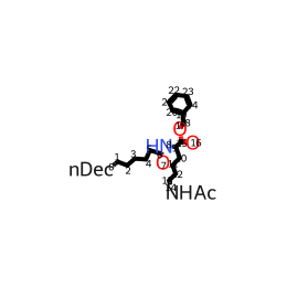 CCCCCCCCCCCCCCCC(=O)NC(CCCCNC(C)=O)C(=O)OCc1ccccc1